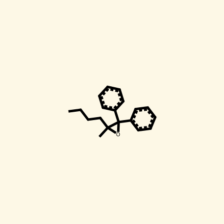 CCCCC1(C)OC1(c1ccccc1)c1ccccc1